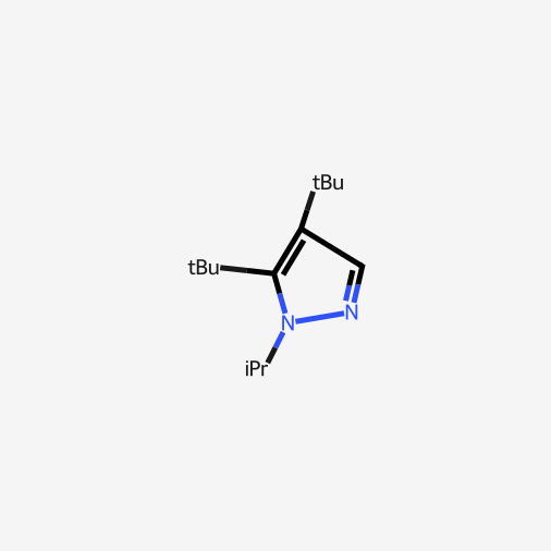 CC(C)n1ncc(C(C)(C)C)c1C(C)(C)C